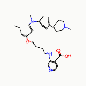 C=C(/C=C\C(C)N(C)/C=C/C(=C\CC)OCCCCNc1cnccc1C(=O)O)C1CCN(C)CC1